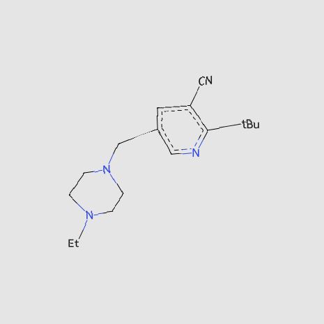 CCN1CCN(Cc2cnc(C(C)(C)C)c(C#N)c2)CC1